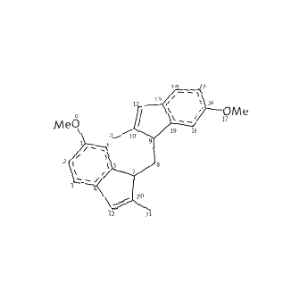 COc1ccc2c(c1)C(CC1C(C)=Cc3ccc(OC)cc31)C(C)=C2